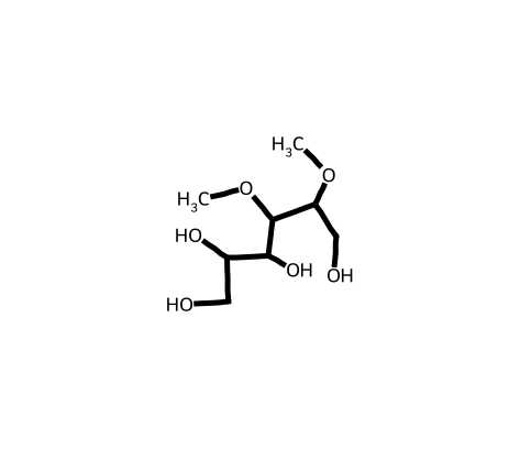 COC(CO)C(OC)C(O)C(O)CO